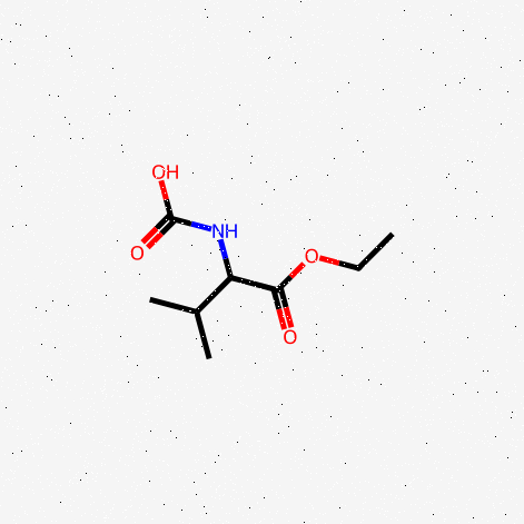 CCOC(=O)C(NC(=O)O)C(C)C